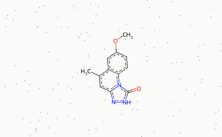 COc1ccc2c(c1)c(C)cc1n[nH]c(=O)n12